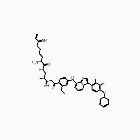 C=CC(=N)CCCC[C@H](N)C(=O)NC[C@H](C)C(=N)CC(=O)c1ccc(NC2=CC=CC3C(c4ccc(OC5C=CC=CC5)c(F)c4F)=CN=C23)cc1CC